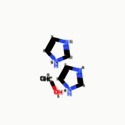 O=CO.c1c[nH]cn1.c1c[nH]cn1